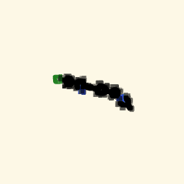 CC1CCN(C2C=C(c3ccc(C#Cc4ccc(-c5ccc(Cl)cc5)cn4)cc3)CC2)CC1